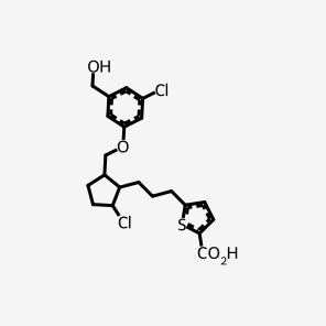 O=C(O)c1ccc(CCCC2C(Cl)CCC2COc2cc(Cl)cc(CO)c2)s1